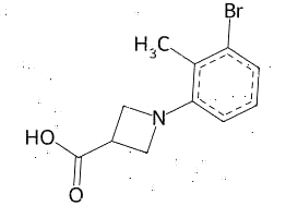 Cc1c(Br)cccc1N1CC(C(=O)O)C1